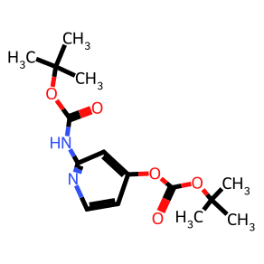 CC(C)(C)OC(=O)Nc1cc(OC(=O)OC(C)(C)C)ccn1